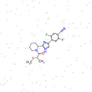 CSC(C)C(=O)N1CCCCC1c1nc(-c2cc(F)c(C#N)cc2F)c[nH]1